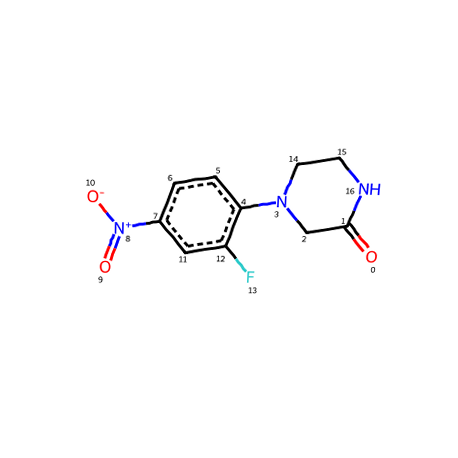 O=C1CN(c2ccc([N+](=O)[O-])cc2F)CCN1